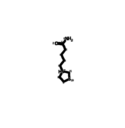 NC(=O)CCCC[SH]1CCSC1